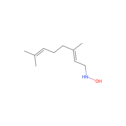 CC(C)=CCCC(C)=CCNO